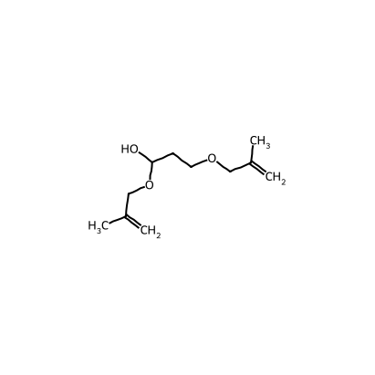 C=C(C)COCCC(O)OCC(=C)C